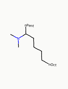 CCCCCCCCCCCCC(CCCCC)N(C)C